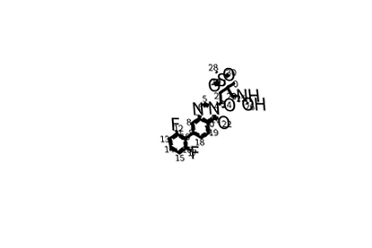 CC(CCn1cnc2cc(-c3c(F)cccc3F)ccc2c1=O)(C(=O)NO)S(C)(=O)=O